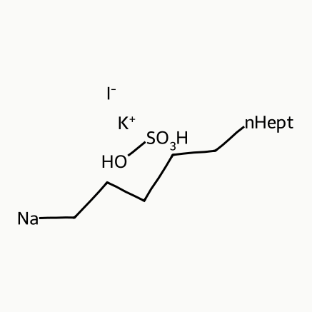 CCCCCCCCCCC[CH2][Na].O=S(=O)(O)O.[I-].[K+]